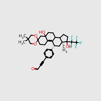 CC1(C)COC2(CCC3=C4C(CCC3(O)C2)C2CCC(O)(C(F)(F)C(F)(F)F)[C@@]2(C)C[C@@H]4c2ccc(C#CC=O)cc2)OC1